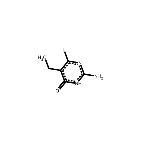 CCc1c(I)nc(N)[nH]c1=O